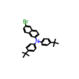 CC(C)(C)c1ccc(N(c2ccc(C(C)(C)C)cc2)c2ccc3cc(Br)ccc3c2)cc1